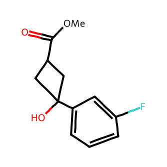 COC(=O)C1CC(O)(c2cccc(F)c2)C1